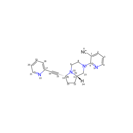 N#Cc1cccnc1N1CCN2[C@@H](CC[C@@H]2C#Cc2ccccn2)C1